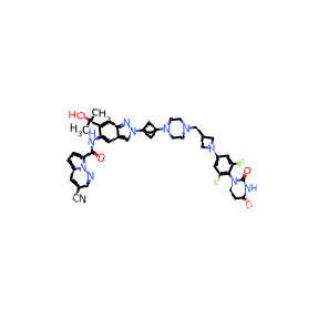 CC(C)(O)c1cc2nn(C34CC(N5CCN(CC6CN(c7cc(F)c(N8CCC(=O)NC8=O)c(F)c7)C6)CC5)(C3)C4)cc2cc1NC(=O)c1ccc2cc(C#N)cnn12